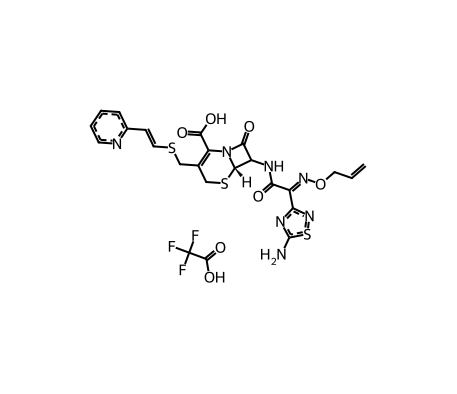 C=CCON=C(C(=O)NC1C(=O)N2C(C(=O)O)=C(CS/C=C/c3ccccn3)CS[C@@H]12)c1nsc(N)n1.O=C(O)C(F)(F)F